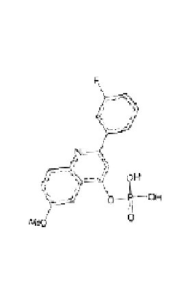 COc1ccc2nc(-c3cccc(F)c3)cc(OP(=O)(O)O)c2c1